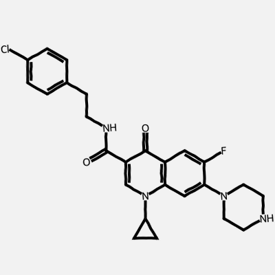 O=C(NCCc1ccc(Cl)cc1)c1cn(C2CC2)c2cc(N3CCNCC3)c(F)cc2c1=O